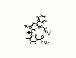 COC(=O)c1ccc(C)c(NC(=O)C(C#N)=Cc2cn(CC(=O)O)c3ccccc23)c1